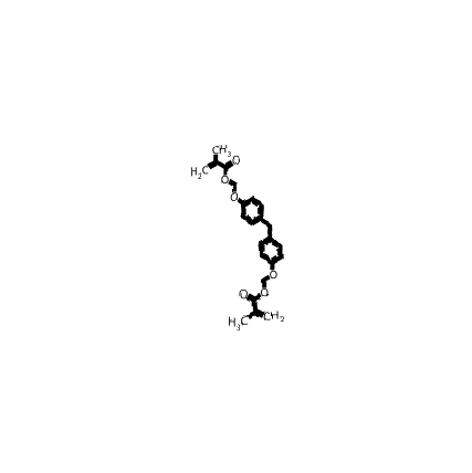 C=C(C)C(=O)OCOc1ccc(Cc2ccc(OCOC(=O)C(=C)C)cc2)cc1